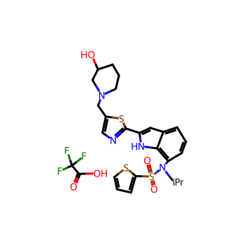 CC(C)N(c1cccc2cc(-c3ncc(CN4CCCC(O)C4)s3)[nH]c12)S(=O)(=O)c1cccs1.O=C(O)C(F)(F)F